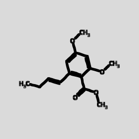 CCC=Cc1cc(OC)cc(OC)c1C(=O)OC